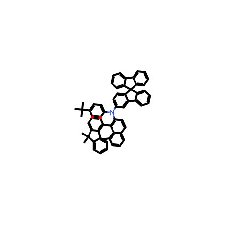 Cc1cccc2ccc(N(c3ccc(C(C)(C)C)cc3)c3ccc4c(c3)-c3ccccc3C43c4ccccc4-c4ccccc43)c(-c3cccc4c3-c3ccccc3C4(C)C)c12